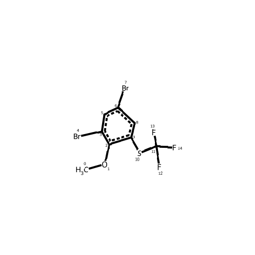 COc1c(Br)cc(Br)cc1SC(F)(F)F